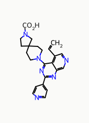 C=Cc1cncc2nc(-c3ccncc3)nc(N3CCC4(CCN(C(=O)O)C4)CC3)c12